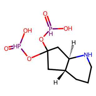 O=[PH](O)OC1(O[PH](=O)O)C[C@H]2CCCN[C@@H]2C1